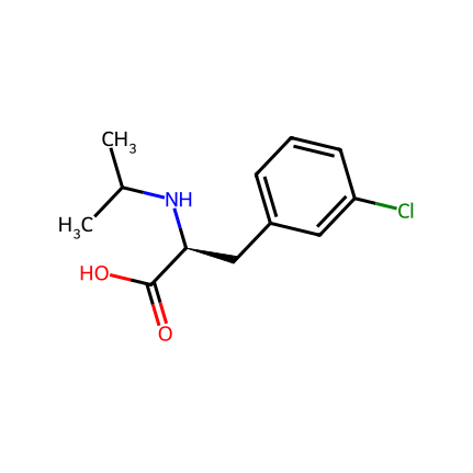 CC(C)N[C@@H](Cc1cccc(Cl)c1)C(=O)O